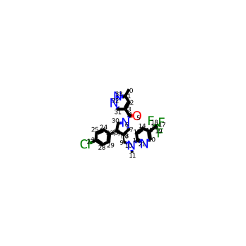 Cc1cc(C(=O)N2C[C@@H](CN(C)c3ccc(C(F)(F)F)cn3)[C@@H](c3ccc(Cl)cc3)C2)cnn1